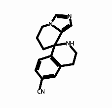 N#Cc1ccc2c(c1)CCNC21CCCn2cncc21